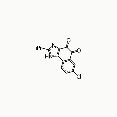 CC(C)c1nc2c([nH]1)-c1ccc(Cl)cc1C(=O)C2=O